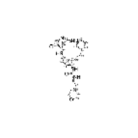 O=C(NCCN1CCOCC1)Nc1ccc2cc1CCc1cccc(c1)Nc1ncc(Cl)c(n1)N2